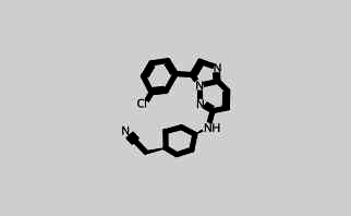 N#CC[C@H]1CC[C@H](Nc2ccc3ncc(-c4cccc(Cl)c4)n3n2)CC1